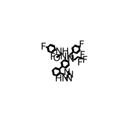 O=C(Nc1ccc(F)cc1F)Nc1cc(-c2ccccc2-c2nnn[nH]2)ccc1N(CCC(F)(F)F)Cc1ccc(F)cc1